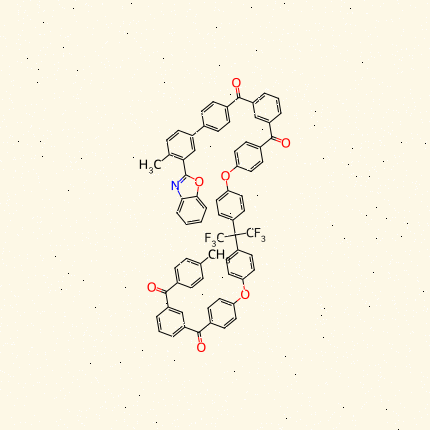 Cc1ccc(C(=O)c2cccc(C(=O)c3ccc(Oc4ccc(C(c5ccc(Oc6ccc(C(=O)c7cccc(C(=O)c8ccc(-c9ccc(C)c(-c%10nc%11ccccc%11o%10)c9)cc8)c7)cc6)cc5)(C(F)(F)F)C(F)(F)F)cc4)cc3)c2)cc1